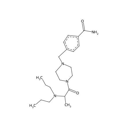 CCCN(CCC)C(C)C(=O)N1CCN(Cc2ccc(C(N)=O)cc2)CC1